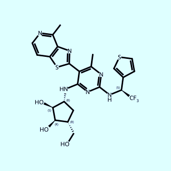 Cc1nc(N[C@@H](c2ccsc2)C(F)(F)F)nc(N[C@@H]2C[C@H](CO)[C@@H](O)[C@H]2O)c1-c1nc2c(C)nccc2s1